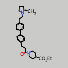 CCOC(=O)C1CCN(C(=O)CCc2ccc(-c3ccc(CCN4CCC[C@H]4C)cc3)cc2)CC1